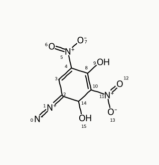 [N-]=[N+]=C1C=C([N+](=O)[O-])C(O)=C([N+](=O)[O-])C1O